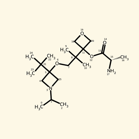 CC(C)N1CC(OCC(C)(C)C2(OC(=O)[C@H](C)N)COC2)(C(C)(C)C)C1